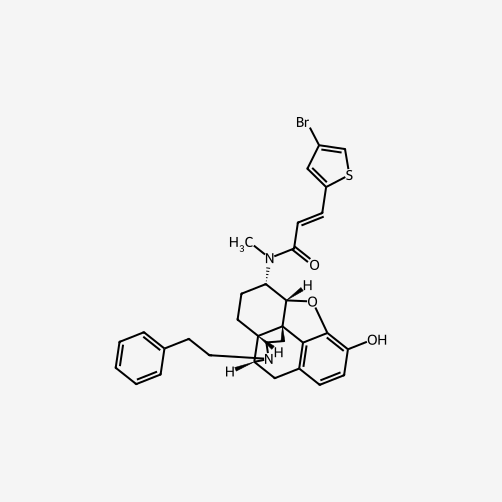 CN(C(=O)/C=C/c1cc(Br)cs1)[C@H]1CC[C@H]2[C@H]3Cc4ccc(O)c5c4[C@@]2(CCN3CCc2ccccc2)[C@H]1O5